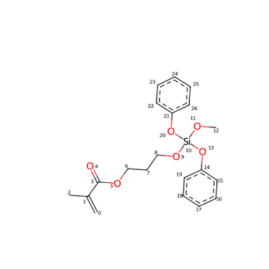 C=C(C)C(=O)OCCCO[Si](OC)(Oc1ccccc1)Oc1ccccc1